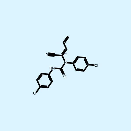 C=C/C=C(\C#N)N(C(=O)Nc1ccc(Cl)cc1)c1ccc(Cl)cc1